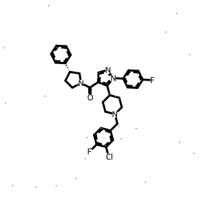 O=C(c1cnn(-c2ccc(F)cc2)c1C1CCN(Cc2ccc(F)c(Cl)c2)CC1)N1CC[C@H](c2ccccc2)C1